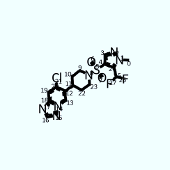 Cn1ncc(S(=O)(=O)N2CCC(c3cn4ncnc4cc3Cl)CC2)c1C(F)F